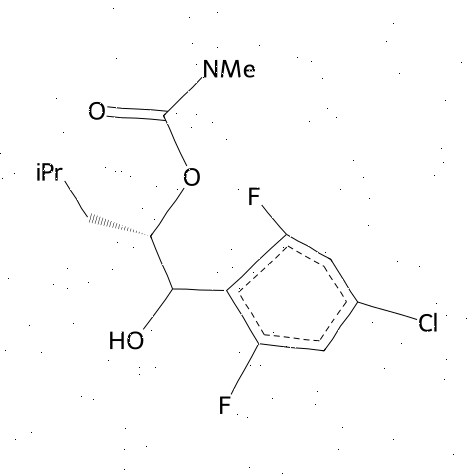 CNC(=O)O[C@@H](CC(C)C)C(O)c1c(F)cc(Cl)cc1F